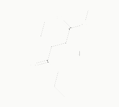 CCCC(=O)C(CC)C(S)C(=O)OC